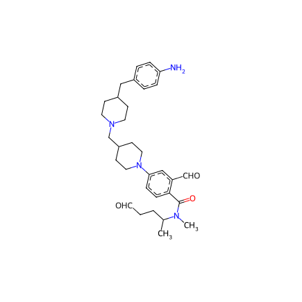 CC(CCC=O)N(C)C(=O)c1ccc(N2CCC(CN3CCC(Cc4ccc(N)cc4)CC3)CC2)cc1C=O